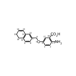 Nc1ccc(OCc2ccc3c(c2)C=CCC3)cc1C(=O)O